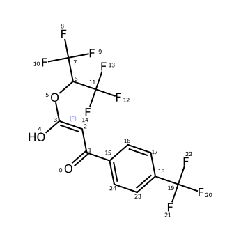 O=C(/C=C(\O)OC(C(F)(F)F)C(F)(F)F)c1ccc(C(F)(F)F)cc1